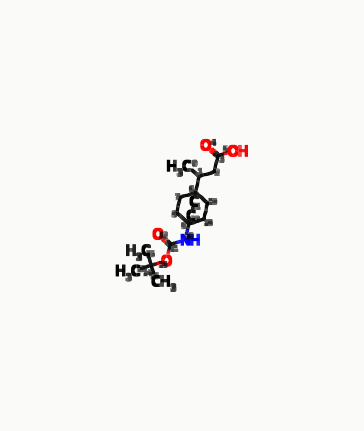 CC(CC(=O)O)C12CCC(NC(=O)OC(C)(C)C)(CC1)CC2